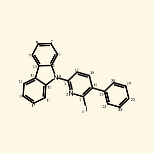 Ic1nc(-n2c3ccccc3c3ccccc32)ccc1-c1ccccc1